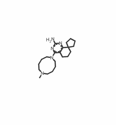 CN1CCCCN(c2nc(N)nc3c2CCCC32CCCC2)CCCC1